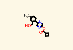 O=C(Oc1cnc(-c2ccc(C(F)(F)F)cc2CO)cn1)C1CCC1